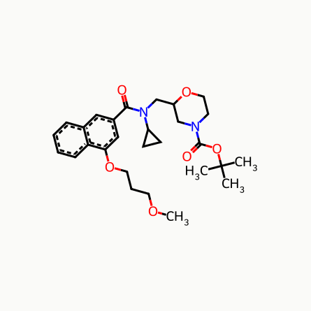 COCCCOc1cc(C(=O)N(CC2CN(C(=O)OC(C)(C)C)CCO2)C2CC2)cc2ccccc12